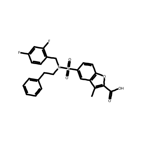 Cc1c(C(=O)O)oc2ccc(S(=O)(=O)N(CCc3ccccc3)Cc3ccc(F)cc3F)cc12